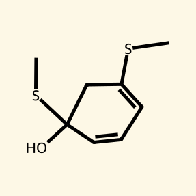 CSC1=CC=CC(O)(SC)C1